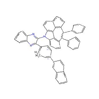 C=C(/C=C\C(=C/C)c1ccc2ccccc2c1)c1nc2ccccc2nc1-n1c2cccc3c2c2c4c(cccc4ccc21)C(c1ccccc1)=C3c1ccccc1